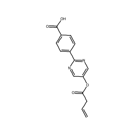 C=CCC(=O)Oc1cnc(-c2ccc(C(=O)O)cc2)nc1